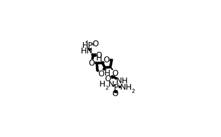 C[PH](=O)NC(=O)OC1CO[C@H]2[C@@H]1OC[C@H]2OC(=O)NP(N)(N)=O